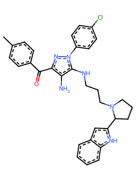 Cc1ccc(C(=O)c2nn(-c3ccc(Cl)cc3)c(NCCCN3CCCC3c3cc4ccccc4[nH]3)c2N)cc1